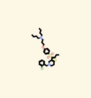 CCCCN(CCCC)CCCOc1ccc(S(=O)(=O)c2c(CC)sc3c2CN(Cc2ccccc2Cl)CC3)cc1